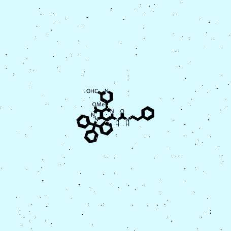 COc1nn(C(c2ccccc2)(c2ccccc2)c2ccccc2)c2cc(NC(=O)NCCc3ccccc3)nc(-c3ccnc(C=O)c3)c12